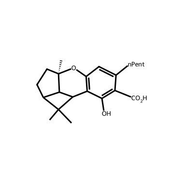 CCCCCc1cc2c(c(O)c1C(=O)O)C1C3C(CC[C@@]3(C)O2)C1(C)C